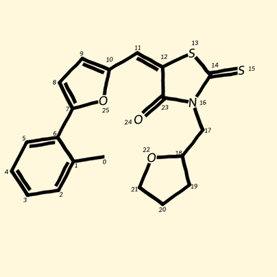 Cc1ccccc1-c1ccc(C=C2SC(=S)N(CC3CCCO3)C2=O)o1